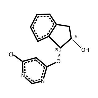 O[C@H]1Cc2ccccc2[C@H]1Oc1cc(Cl)ncn1